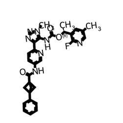 Cc1cnc(F)c([C@@H](C)OC(=O)Nc2c(-c3ccc(NC(=O)C45CC(c6ccccc6)(C4)C5)cn3)nnn2C)c1